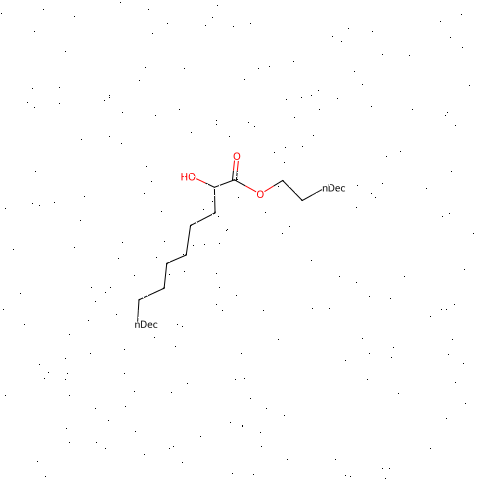 CCCCCCCCCCCCCCCCC(O)C(=O)OCCCCCCCCCCCC